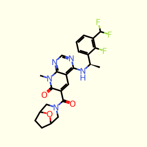 C[C@@H](Nc1ncnc2c1cc(C(=O)N1CC3CCC(C1)O3)c(=O)n2C)c1cccc(C(F)F)c1F